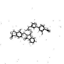 Cc1cc(-n2cc(CNC[C@@H](c3ccc4c(c3C)COC4=O)N3C(=O)c4ccccc4C3=O)cn2)ncc1C#N